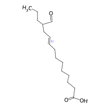 CCCC(C=O)C/C=C/CCCCCCCC(=O)O